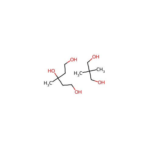 CC(C)(CO)CO.CC(O)(CCO)CCO